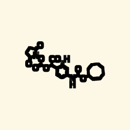 O=C(Nc1ccc(C(OC(=O)ON2C(=O)CCC2=O)C(=O)O)cc1)OC1/C=C\CCCCC1